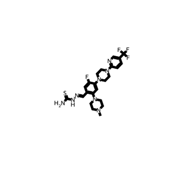 CN1CCN(c2cc(N3CCN(c4ccc(C(F)(F)F)cn4)CC3)c(F)cc2/C=N/NC(N)=S)CC1